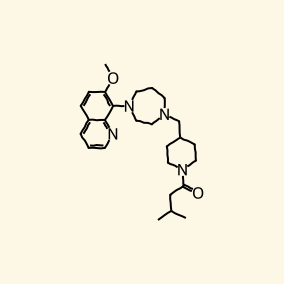 COc1ccc2cccnc2c1N1CCCN(CC2CCN(C(=O)CC(C)C)CC2)CC1